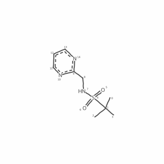 CC(C)(C)S(=O)(=O)NCc1ncccn1